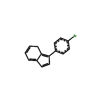 Brc1ccc(C2=C3CC=CC=C3C=C2)cc1